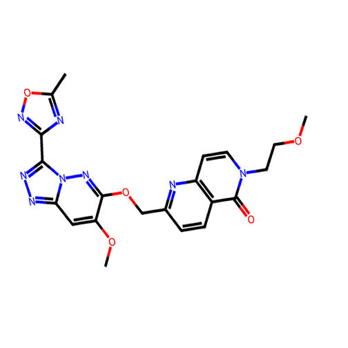 COCCn1ccc2nc(COc3nn4c(-c5noc(C)n5)nnc4cc3OC)ccc2c1=O